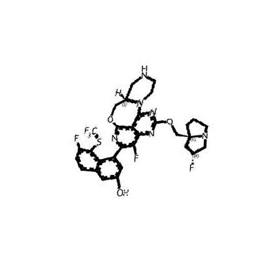 Oc1cc(-c2nc3c4c(nc(OC[C@@]56CCCN5C[C@H](F)C6)nc4c2F)N2CCNC[C@H]2CO3)c2c(SC(F)(F)F)c(F)ccc2c1